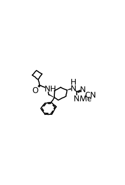 CN/C(=N\C#N)N[C@H]1CC[C@](CNC(=O)C2CCC2)(c2ccccc2)CC1